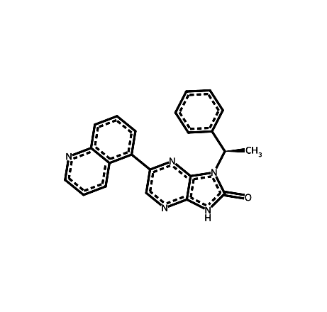 C[C@H](c1ccccc1)n1c(=O)[nH]c2ncc(-c3cccc4ncccc34)nc21